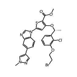 COC(=O)c1sc(-n2cnc3cc(-c4cnn(C)c4)ccc32)cc1O[C@H](C)c1cccc(OCCBr)c1Cl